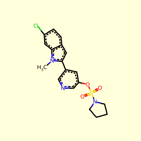 Cn1c(-c2cncc(OS(=O)(=O)N3CCCC3)c2)cc2ccc(Cl)cc21